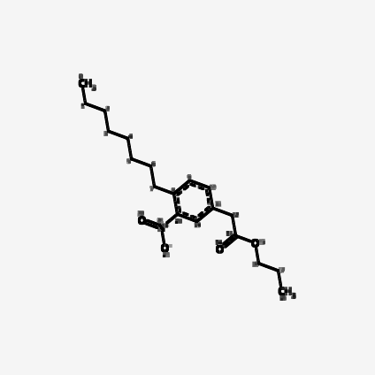 CCCCCCCCc1ccc(CC(=O)OCCC)cc1[N+](=O)[O-]